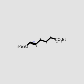 CCCC(C)/C=C/CCCC(=O)OCC